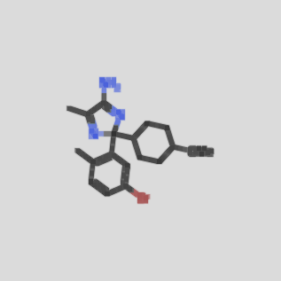 COC1CCC(C2(c3cc(Br)ccc3C)N=C(C)C(N)=N2)CC1